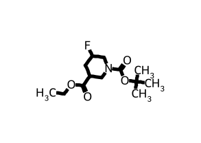 CCOC(=O)C1CC(F)CN(C(=O)OC(C)(C)C)C1